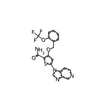 NC(=O)c1sc(-n2cnc3cnccc32)cc1OCc1ccccc1OC(F)(F)F